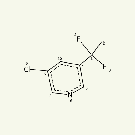 [CH2]C(F)(F)c1cncc(Cl)c1